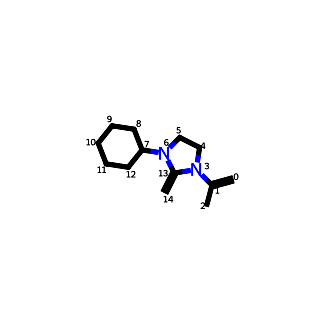 C=C(C)N1CCN(C2CCCCC2)C1=C